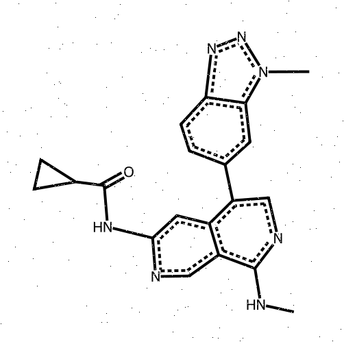 CNc1ncc(-c2ccc3nnn(C)c3c2)c2cc(NC(=O)C3CC3)ncc12